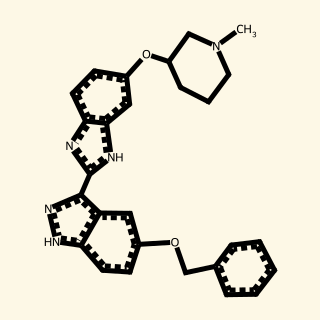 CN1CCCC(Oc2ccc3nc(-c4n[nH]c5ccc(OCc6ccccc6)cc45)[nH]c3c2)C1